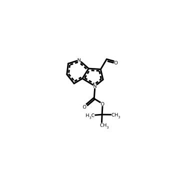 CC(C)(C)OC(=O)n1cc(C=O)c2ncccc21